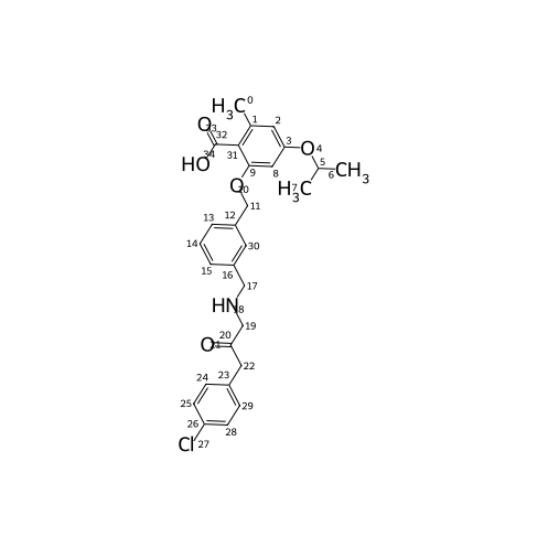 Cc1cc(OC(C)C)cc(OCc2cccc(CNCC(=O)Cc3ccc(Cl)cc3)c2)c1C(=O)O